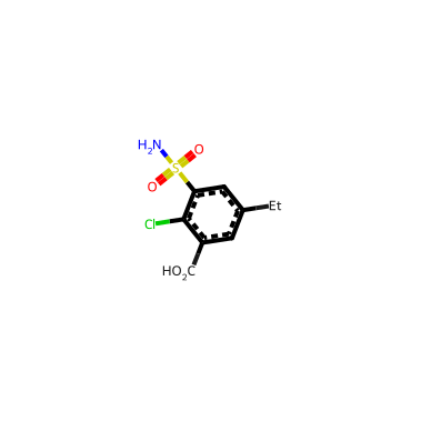 CCc1cc(C(=O)O)c(Cl)c(S(N)(=O)=O)c1